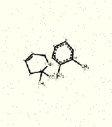 CCOC(=O)C1(C)CC=CCN1.Cc1ccccc1C